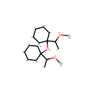 CCOC(C)C1(OC2(C(C)OCC)CCCCC2)CCCCC1